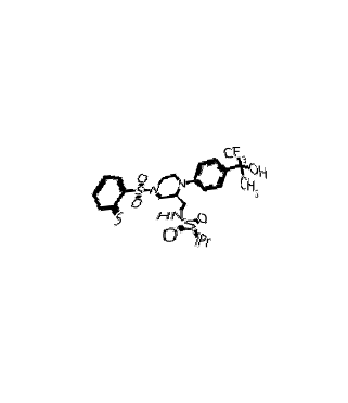 CC(C)S(=O)(=O)NC[C@H]1CN(S(=O)(=O)C2=CC=CCC2=S)CCN1c1ccc(C(C)(O)C(F)(F)F)cc1